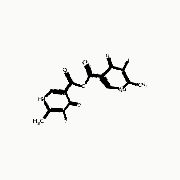 Cc1[nH]cc(C(=O)OC(=O)c2c[nH]c(C)c(I)c2=O)c(=O)c1I